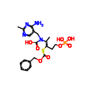 C/C(=C(\CCOP(=O)(O)O)SC(=O)OCc1ccccc1)N(Cc1cnc(C)nc1N)C(=O)O